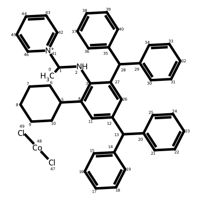 CC(Nc1c(C2CCCCC2)cc(C(c2ccccc2)c2ccccc2)cc1C(c1ccccc1)c1ccccc1)[n+]1ccccc1.[Cl][Co][Cl]